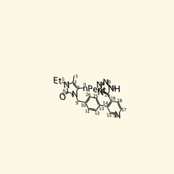 CCCCCc1c(C)n(CC)c(=O)n1Cc1ccc(-c2cnccc2-c2nnn[nH]2)cc1